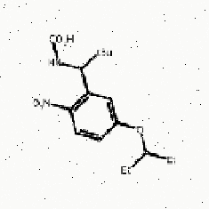 CCC(CC)Oc1ccc([N+](=O)[O-])c(C(NC(=O)O)C(C)(C)C)c1